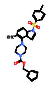 Cc1ccc(S(=O)(=O)n2ccc3c(N4CCN(C(=O)OCc5ccccc5)CC4)c(C=O)ccc32)cc1